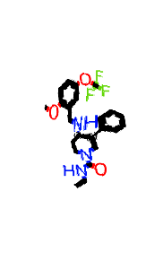 CCNC(=O)N1CC[C@@H](NCc2cc(OC(F)(F)F)ccc2OC)[C@@H](c2ccccc2)C1